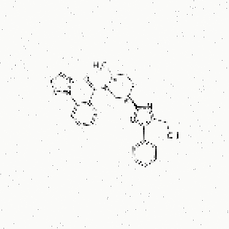 C[C@@H]1CC[C@@H](c2nc(CO)c(-c3ccccc3)o2)CN1C(=O)c1ccccc1-n1nccn1